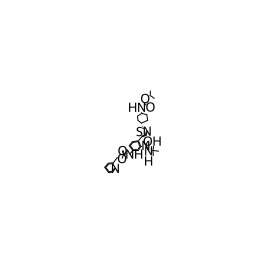 CC(C)OC(=O)N[C@H]1CC[C@H](c2ncc(-c3ccc(NC(=O)OCc4ccccn4)cc3N(O)NC(C)(C)C)s2)CC1